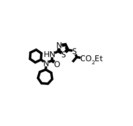 CCOC(=O)C(C)Sc1cnc(NC(=O)N(C2CCCCCC2)C2CCCCC2)s1